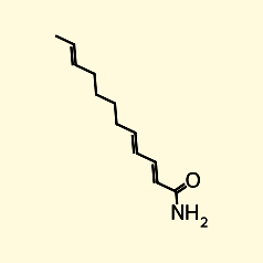 CC=CCCCCC=CC=CC(N)=O